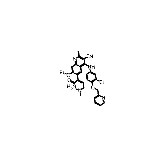 CCOc1cc2nc(C)c(C#N)c(Nc3ccc(OCc4ccccn4)c(Cl)c3)c2cc1C(=CCN(C)C)C(N)=O